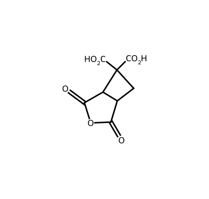 O=C1OC(=O)C2C1CC2(C(=O)O)C(=O)O